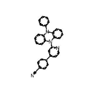 N#Cc1ccc(-c2ccnc(N3c4ccccc4N(c4ccccc4)c4ccccc43)c2)cc1